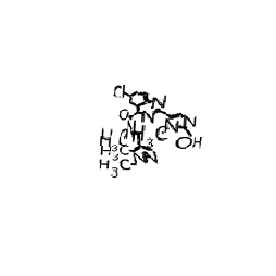 CCn1ncc(CN(C)C(=O)c2nc(-c3cnc(CO)n3C)nc3ccc(Cl)cc23)c1C